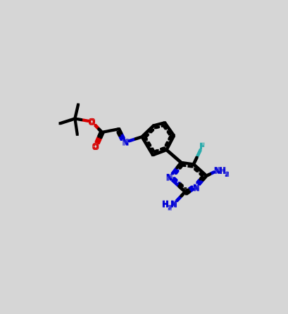 CC(C)(C)OC(=O)C=Nc1cccc(-c2nc(N)nc(N)c2F)c1